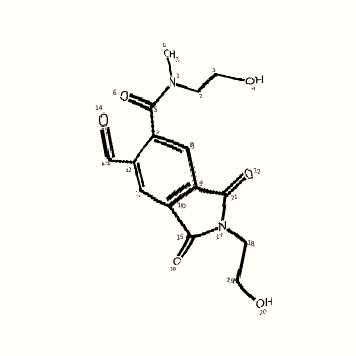 CN(CCO)C(=O)c1cc2c(cc1C=O)C(=O)N(CCO)C2=O